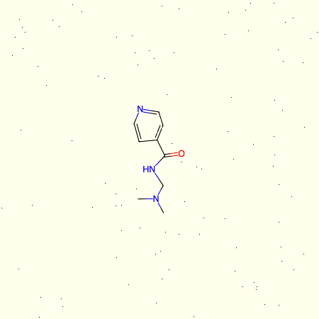 CN(C)CNC(=O)c1ccncc1